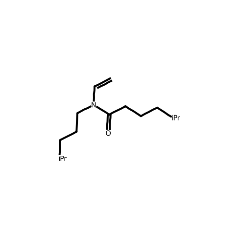 C=CN(CCCC(C)C)C(=O)CCCC(C)C